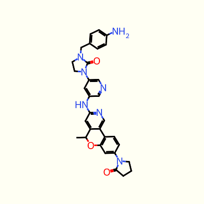 CC1Oc2cc(N3CCCC3=O)ccc2-c2cnc(Nc3cncc(N4CCN(Cc5ccc(N)cc5)C4=O)c3)cc21